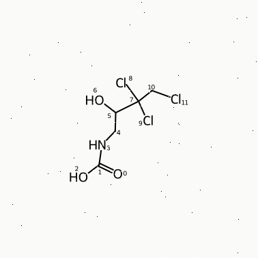 O=C(O)NCC(O)C(Cl)(Cl)CCl